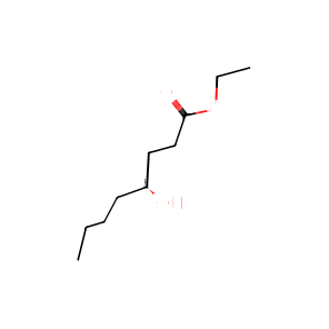 CCCC[C@H](O)CCC(=O)OCC